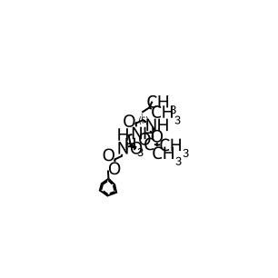 CC(C)C[C@H](NC(=O)OC(C)(C)C)C(=O)NCC(=O)NCC(=O)OCc1ccccc1